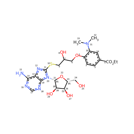 CCOC(=O)c1ccc(OCC(O)CSc2nc3c(N)ncnc3n2[C@@H]2O[C@H](CO)[C@@H](O)[C@H]2O)c(N(C)C)c1